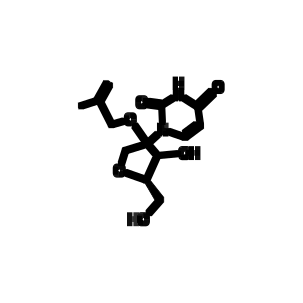 C=C(C)COC1(n2ccc(=O)[nH]c2=O)CO[C@H](CO)C1O